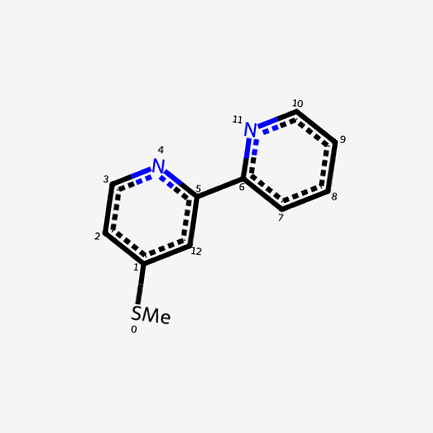 CSc1ccnc(-c2ccccn2)c1